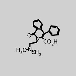 CN(C)CCn1c(C(=O)O)c(-c2ccccc2)c2ccccc2c1=O